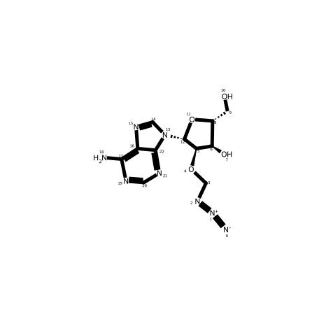 [N-]=[N+]=NCO[C@@H]1[C@H](O)[C@@H](CO)O[C@H]1n1cnc2c(N)ncnc21